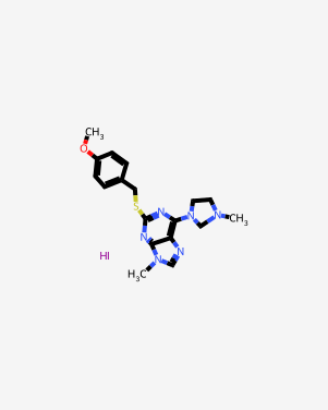 COc1ccc(CSc2nc(N3CCN(C)C3)c3ncn(C)c3n2)cc1.I